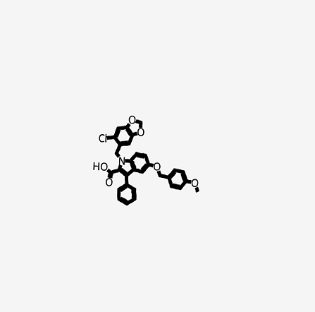 COc1ccc(COc2ccc3c(c2)c(-c2ccccc2)c(C(=O)O)n3Cc2cc3c(cc2Cl)OCO3)cc1